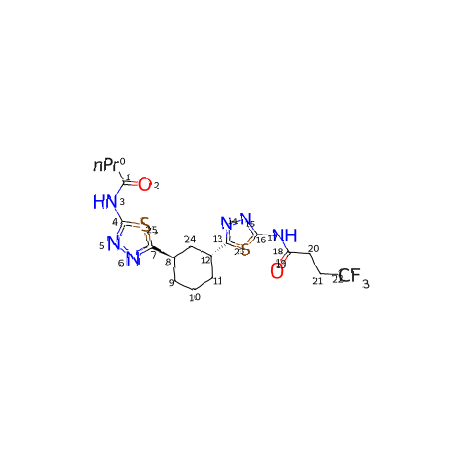 CCCC(=O)Nc1nnc([C@@H]2CCC[C@@H](c3nnc(NC(=O)CCC(F)(F)F)s3)C2)s1